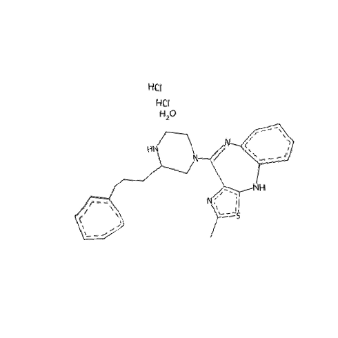 Cc1nc2c(s1)Nc1ccccc1N=C2N1CCNC(CCc2ccccc2)C1.Cl.Cl.O